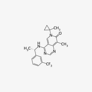 Cc1c(=O)n(C2(C)CC2)cc2c(N[C@@H](C)c3cccc(C(F)(F)F)c3)ncnc12